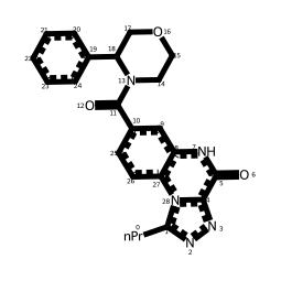 CCCc1nnc2c(=O)[nH]c3cc(C(=O)N4CCOCC4c4ccccc4)ccc3n12